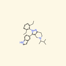 CCc1cccc(CC)c1-n1nc2c(c1-c1ccc3[nH]ccc3c1)CN(C(C)C(C)C)CC2